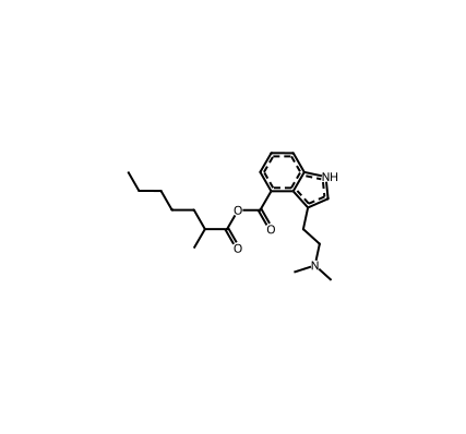 CCCCCC(C)C(=O)OC(=O)c1cccc2[nH]cc(CCN(C)C)c12